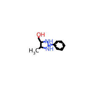 CC1NN(c2ccccc2)NC1CO